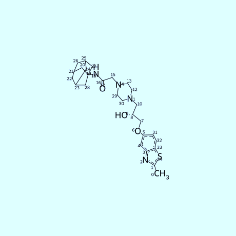 Cc1nc2cc(OC[C@H](O)CN3CCN(CC(=O)NC45CC6CC(CC(C6)C4)C5)CC3)ccc2s1